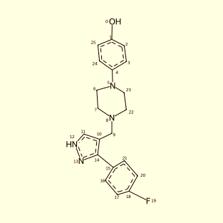 Oc1ccc(N2CCN(Cc3c[nH]nc3-c3ccc(F)cc3)CC2)cc1